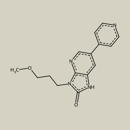 COCCCn1c(=O)[nH]c2cc(-c3ccncc3)cnc21